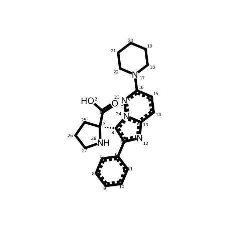 O=C(O)[C@]1(c2c(-c3ccccc3)nc3ccc(N4CCCCC4)nn23)CCCN1